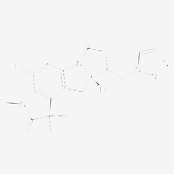 CN1C(=O)C(F)(F)c2c3c(cc(F)c21)N1C(=O)OC(Cn2ccnn2)[C@@H]1C3